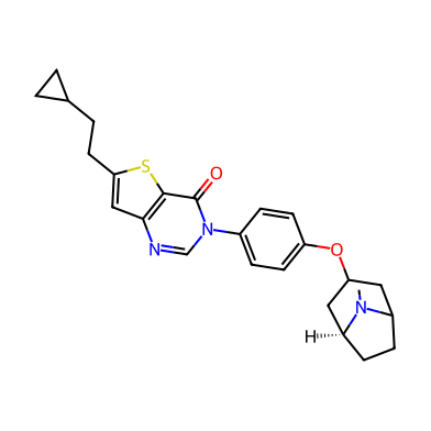 CN1C2CC[C@H]1CC(Oc1ccc(-n3cnc4cc(CCC5CC5)sc4c3=O)cc1)C2